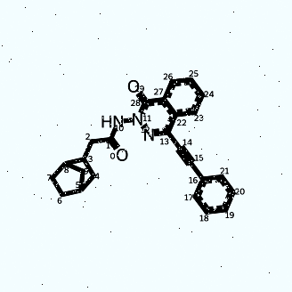 O=C(CC1CC2CCC1C2)Nn1nc(C#Cc2ccccc2)c2ccccc2c1=O